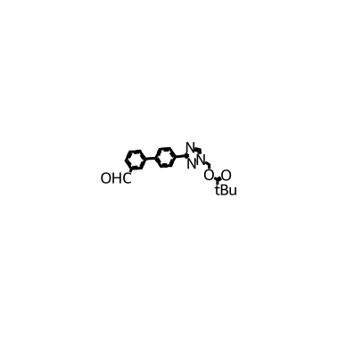 CC(C)(C)C(=O)OCn1cnc(-c2ccc(-c3cccc(C=O)c3)cc2)n1